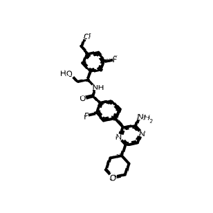 Nc1ncc(C2CCOCC2)nc1-c1ccc(C(=O)NC(CO)c2cc(F)cc(CCl)c2)c(F)c1